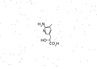 Cc1cc(CC(O)C(=O)O)cnc1N